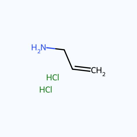 C=CCN.Cl.Cl